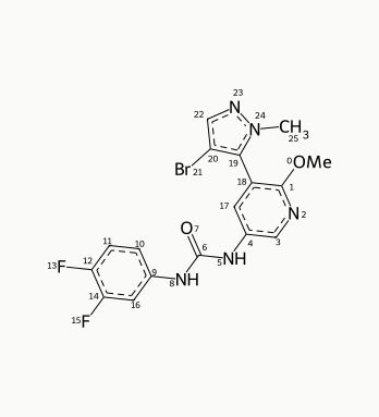 COc1ncc(NC(=O)Nc2ccc(F)c(F)c2)cc1-c1c(Br)cnn1C